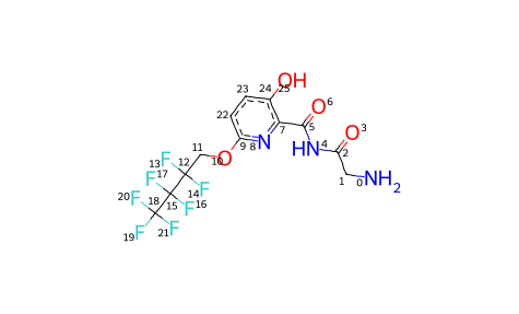 NCC(=O)NC(=O)c1nc(OCC(F)(F)C(F)(F)C(F)(F)F)ccc1O